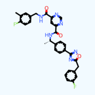 Cc1cc(CNC(=O)c2cc(C(=O)N[C@@H](C)c3ccc(-c4noc(Cc5cccc(F)c5)n4)cc3)ncn2)ccc1F